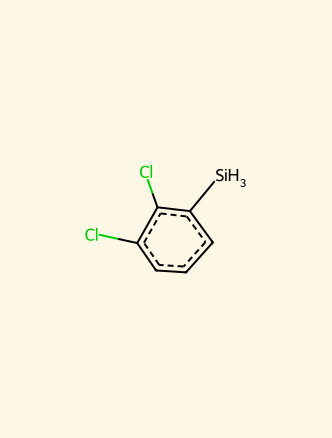 [SiH3]c1cccc(Cl)c1Cl